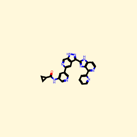 O=C(Nc1cncc(-c2cc3c(-c4nc5c(-c6ccccn6)nccc5[nH]4)n[nH]c3cn2)c1)C1CC1